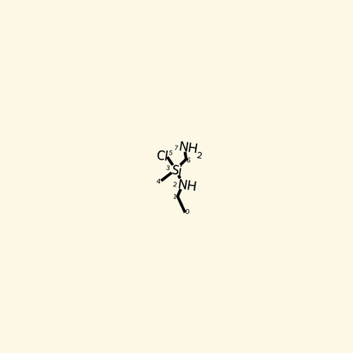 CCN[Si](C)(Cl)CN